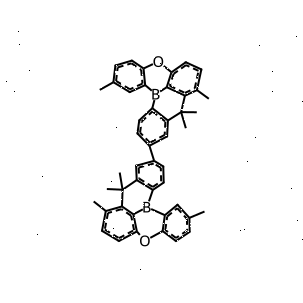 Cc1ccc2c(c1)B1c3ccc(-c4ccc5c(c4)C(C)(C)c4c(C)ccc6c4B5c4cc(C)ccc4O6)cc3C(C)(C)c3c(C)ccc(c31)O2